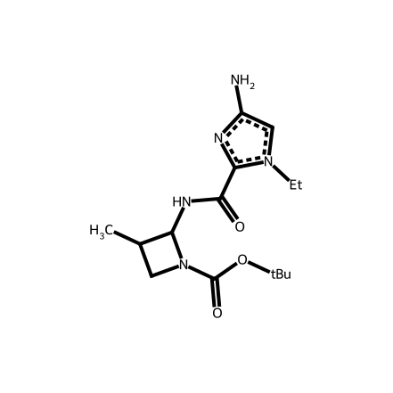 CCn1cc(N)nc1C(=O)NC1C(C)CN1C(=O)OC(C)(C)C